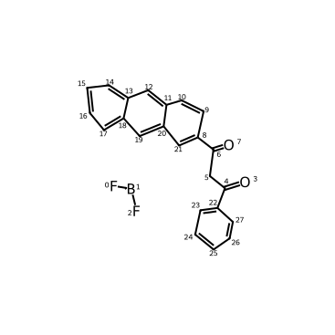 F[B]F.O=C(CC(=O)c1ccc2cc3ccccc3cc2c1)c1ccccc1